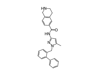 Cc1cc(NC(=O)c2ccc3c(c2)CCNC3)nn1Cc1ccccc1-c1ccccc1